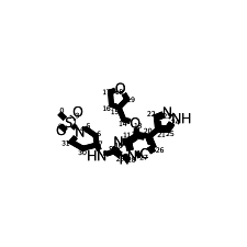 CS(=O)(=O)N1CCC(Nc2nc3c(OCC4CCOC4)c(-c4cn[nH]c4)ccn3n2)CC1